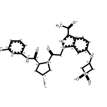 CC(=O)c1nn(CC(=O)N2C[C@H](F)C[C@H]2C(=O)Nc2cccc(Br)n2)c2cc(OC3CS(=O)(=O)C3)ccc12